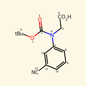 CC(C)(C)OC(=O)N(CC(=O)O)c1cccc(C#N)c1